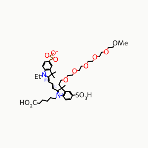 CCN1/C(=C/C=C/C2=[N+](CCCCCC(=O)O)c3ccc(S(=O)(=O)O)cc3C2(C)CCOCCOCCOCCOCCOCCOC)C(C)(C)c2cc(S(=O)(=O)[O-])ccc21